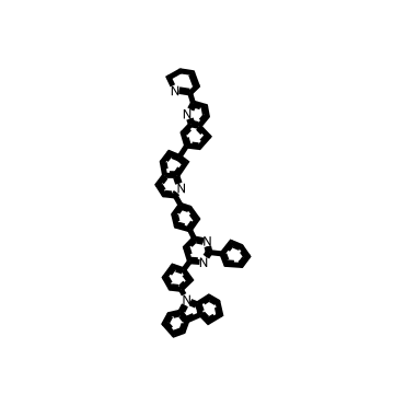 C1=CC(c2ccc3ccc(-c4ccc5ccc(-c6ccc(-c7cc(-c8cccc(-n9c%10ccccc%10c%10ccccc%109)c8)nc(-c8ccccc8)n7)cc6)nc5c4)cc3n2)=NCC1